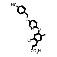 Cc1cc(/C=C/C(=O)O)c(Cl)cc1Oc1ccc(OCc2ccc(C#N)cc2)cn1